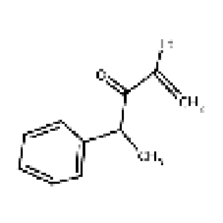 C=C(CC)C(=O)C(C)c1ccccc1